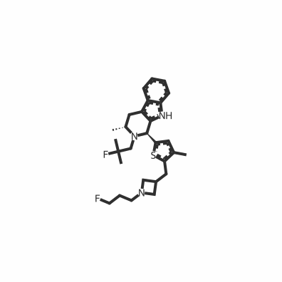 Cc1cc([C@@H]2c3[nH]c4ccccc4c3C[C@@H](C)N2CC(C)(C)F)sc1CC1CN(CCCF)C1